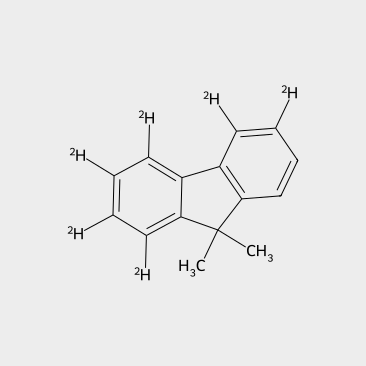 [2H]c1ccc2c(c1[2H])-c1c([2H])c([2H])c([2H])c([2H])c1C2(C)C